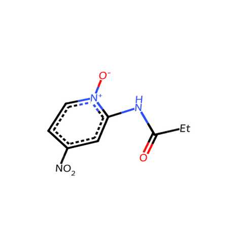 CCC(=O)Nc1cc([N+](=O)[O-])cc[n+]1[O-]